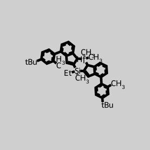 CC[Si]1(C)C2=Cc3c(-c4ccc(C(C)(C)C)cc4C)cccc3[CH]2[Hf]([CH3])([CH3])[CH]2C1=Cc1c(-c3ccc(C(C)(C)C)cc3C)cccc12